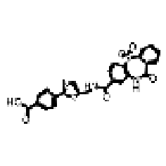 O=C(O)c1ccc(-c2ncc(CNC(=O)c3ccc4c(c3)NC(=O)c3ccccc3S4(=O)=O)s2)cc1